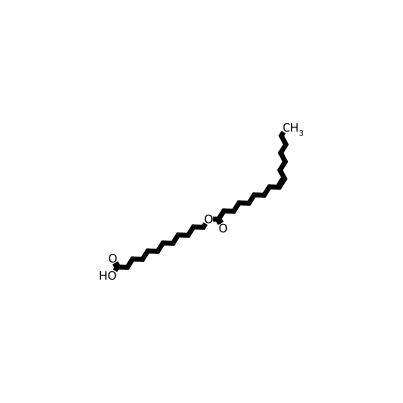 CCCCCC/C=C\CCCCCCCC(=O)OCCCCCCCCCCCC(=O)O